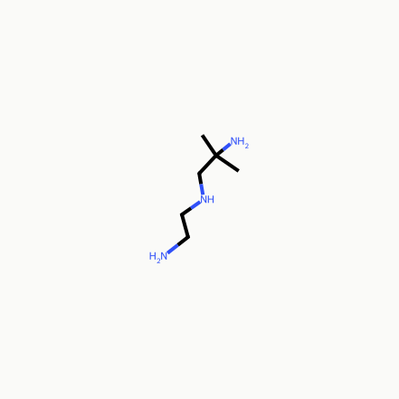 CC(C)(N)CNCCN